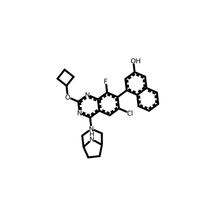 Oc1cc(-c2c(Cl)cc3c(N4CC5CCC(C4)N5)nc(OC4CCC4)nc3c2F)c2ccccc2c1